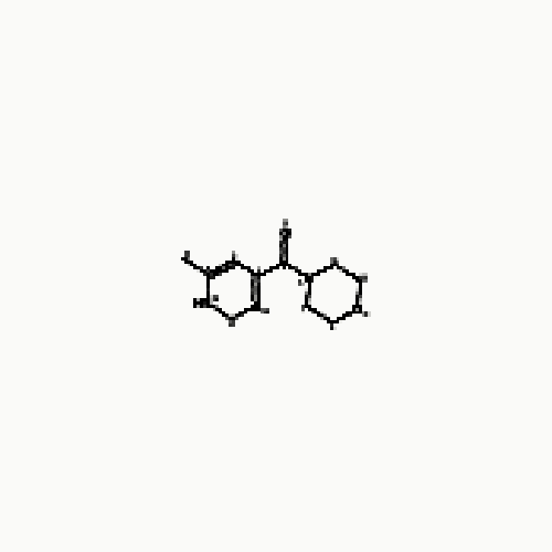 CC1=CC(C(=O)N2CCOCC2)=NCN1